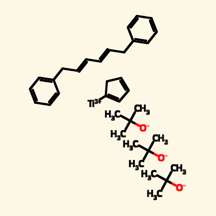 C(C=CCc1ccccc1)=CCc1ccccc1.CC(C)(C)[O-].CC(C)(C)[O-].CC(C)(C)[O-].[Ti+3][C]1=CC=CC1